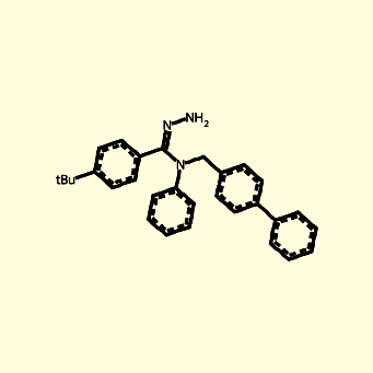 CC(C)(C)c1ccc(/C(=N/N)N(Cc2ccc(-c3ccccc3)cc2)c2ccccc2)cc1